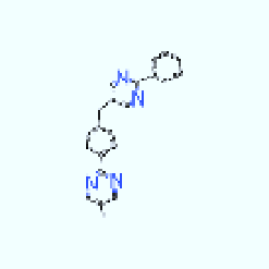 Cc1cnc(-c2ccc(Cc3cnc(-c4ccccc4)nc3)cc2)nc1